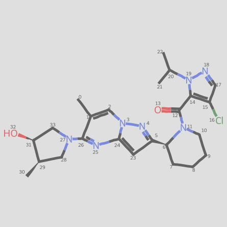 Cc1cn2nc([C@@H]3CCCCN3C(=O)c3c(Cl)cnn3C(C)C)cc2nc1N1C[C@@H](C)[C@@H](O)C1